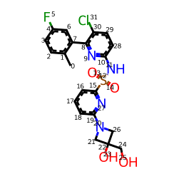 Cc1ccc(F)cc1-c1nc(NS(=O)(=O)c2cccc(N3CC(O)(CO)C3)n2)ccc1Cl